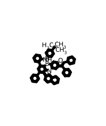 CC(C)(C)c1ccc(Nc2ccccc2-c2cc(-c3ccccc3)c3c4ccc5ccccc5c4n4c3c2Bc2cc3oc(-c5ccccc5)c(-c5ccccc5)c3cc2-4)cc1